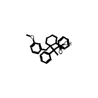 COc1cccc(CC2(C(C)(c3ccccc3)c3ccccc3)CCCCC2C(=O)O)c1